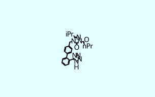 CCCC(=O)n1nc(C(C)C)n(Cc2ccc(-c3ccccc3-c3nnn[nH]3)cc2)c1=O